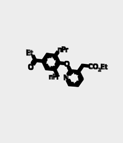 CCCc1cc(C(=O)CC)cc(CCC)c1Oc1ncccc1CC(=O)OCC